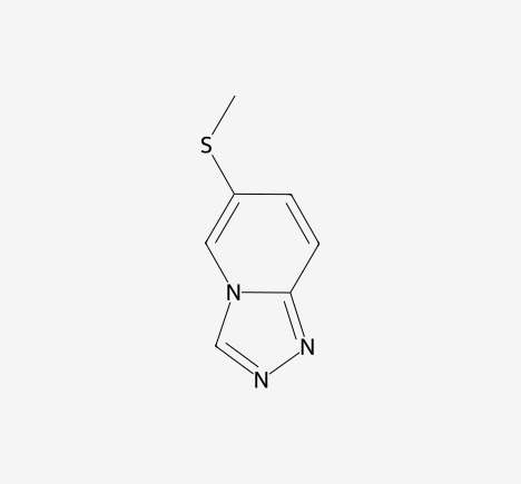 CSc1ccc2nncn2c1